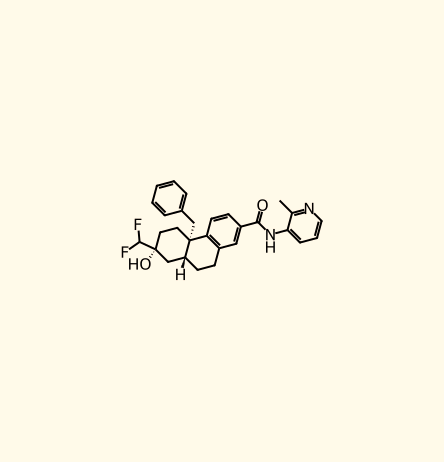 Cc1ncccc1NC(=O)c1ccc2c(c1)CC[C@@H]1C[C@@](O)(C(F)F)CC[C@@]21Cc1ccccc1